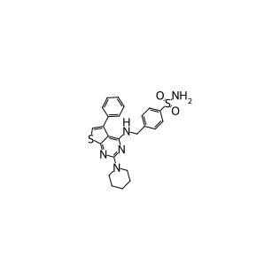 NS(=O)(=O)c1ccc(CNc2nc(N3CCCCC3)nc3scc(-c4ccccc4)c23)cc1